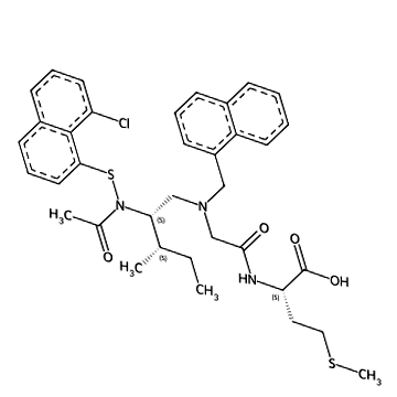 CC[C@H](C)[C@@H](CN(CC(=O)N[C@@H](CCSC)C(=O)O)Cc1cccc2ccccc12)N(Sc1cccc2cccc(Cl)c12)C(C)=O